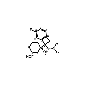 CN(C)CC1(C2(O)CCCCC2)Cc2ccc(F)cc21.Cl